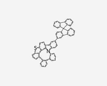 c1ccc2c(c1)-c1ccccc1C21c2ccccc2-c2cc(-c3ccc4c(c3)c3ccc5sc6cccc7c8ccccc8c8ccccc8n4c3c5c67)ccc21